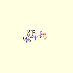 CC(=C(NC(=O)c1ccnn1C)C(=O)Nc1ccc2c(c1)NC(=O)C21CCOCC1)c1cccn1C